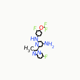 Cc1nc2ccc(F)cn2c1-c1cc(N)cc(Nc2ccc(OC(F)F)c(F)c2)n1